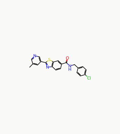 Cc1cncc(-c2nc3ccc(C(=O)NCc4ccc(Cl)cc4)cc3s2)c1